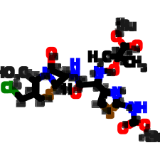 CC(C)(C)OC(=O)Nc1nc(C(=NOC(C)(C)C(=O)OC(C)(C)C)C(=O)N[C@@H]2C(=O)N3C(C(=O)O)=C(CCl)CS[C@H]23)cs1